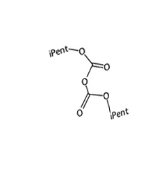 CCCC(C)OC(=O)OC(=O)OC(C)CCC